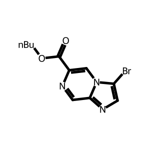 CCCCOC(=O)c1cn2c(Br)cnc2cn1